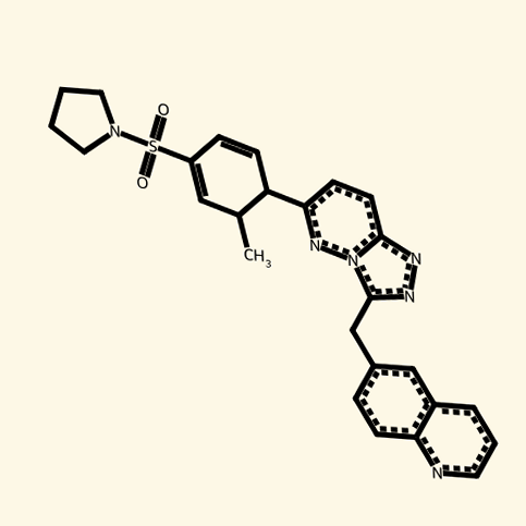 CC1C=C(S(=O)(=O)N2CCCC2)C=CC1c1ccc2nnc(Cc3ccc4ncccc4c3)n2n1